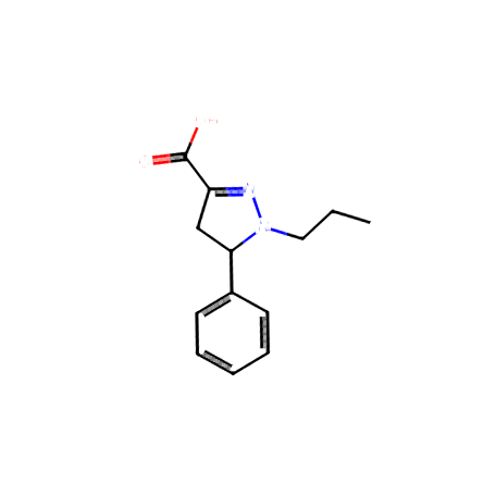 CCCN1N=C(C(=O)O)CC1c1ccccc1